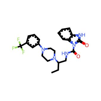 CCC(CNC(=O)n1c(=O)[nH]c2ccccc21)N1CCN(c2cccc(C(F)(F)F)c2)CC1